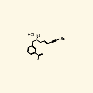 C=C(C)c1cccc(CN(CC)C/C=C/C#CC(C)(C)C)c1.Cl